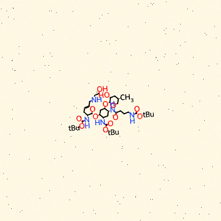 C[C@@H]1CO[C@H](O[C@@H]2C[C@H](O[C@H]3OC(CNCCO)=CC[C@H]3NC(=O)OC(C)(C)C)[C@@H](NC(=O)OC(C)(C)C)C[C@H]2NC(=O)CCCNC(=O)OC(C)(C)C)[C@H](O)C1